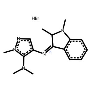 Br.CC1/C(=N\c2cnn(C)c2N(C)C)c2ccccc2N1C